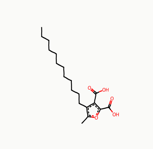 CCCCCCCCCCCCc1c(C)oc(C(=O)O)c1C(=O)O